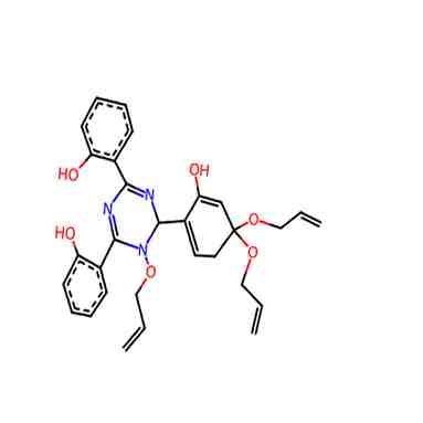 C=CCON1C(c2ccccc2O)=NC(c2ccccc2O)=NC1C1=CCC(OCC=C)(OCC=C)C=C1O